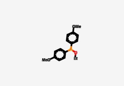 CCOP(c1ccc(OC)cc1)c1ccc(OC)cc1